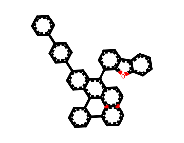 c1ccc(-c2ccc(-c3ccc4c(-c5ccccc5-c5ccccc5)c5ccccc5c(-c5cccc6c5oc5ccccc56)c4c3)cc2)cc1